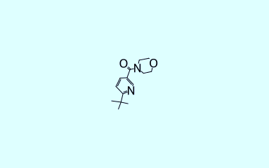 CC(C)(C)c1ccc(C(=O)N2CCOCC2)cn1